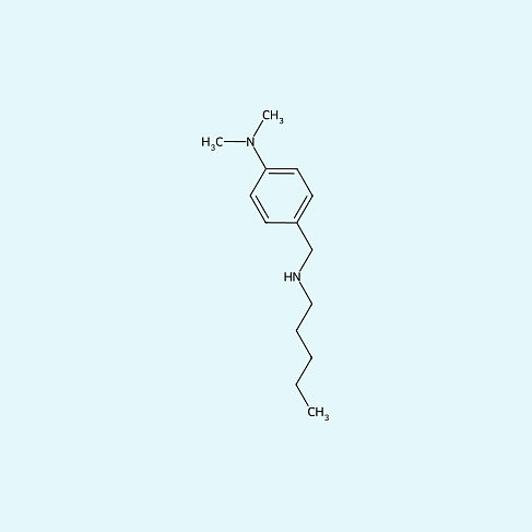 CCCCCNCc1ccc(N(C)C)cc1